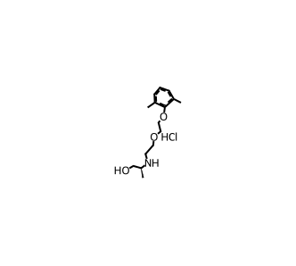 Cc1cccc(C)c1OCCOCCN[C@@H](C)CO.Cl